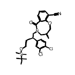 CC1COc2c(C#N)cccc2C(=O)N(CC(CCO[Si](C)(C)C(C)(C)C)c2ccc(Cl)c(Cl)c2)C1